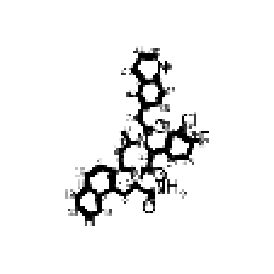 CC1CCN(C(Cc2cccc3ccccc23)C(N)=O)C(=O)C(c2ccc(F)c(Cl)c2)N1C(=O)Cc1ccc2ncccc2c1